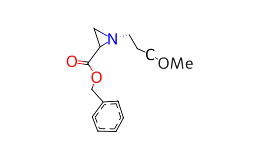 COCCC[N@@]1CC1C(=O)OCc1ccccc1